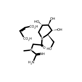 CN(CC(=O)N1C[C@H](O)[C@@H](O)[C@H](O)[C@H]1CO)C(=N)N.O=C(O)/C=C\C(=O)O